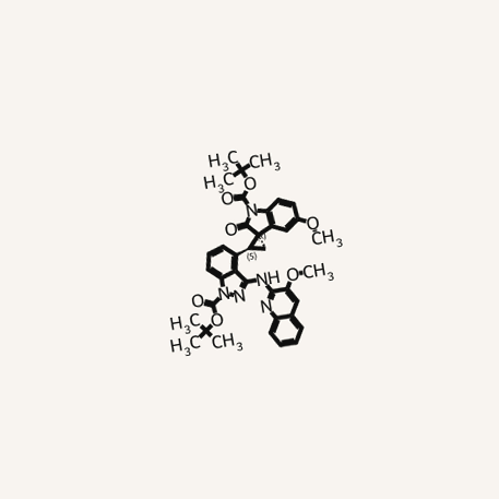 COc1ccc2c(c1)[C@]1(C[C@H]1c1cccc3c1c(Nc1nc4ccccc4cc1OC)nn3C(=O)OC(C)(C)C)C(=O)N2C(=O)OC(C)(C)C